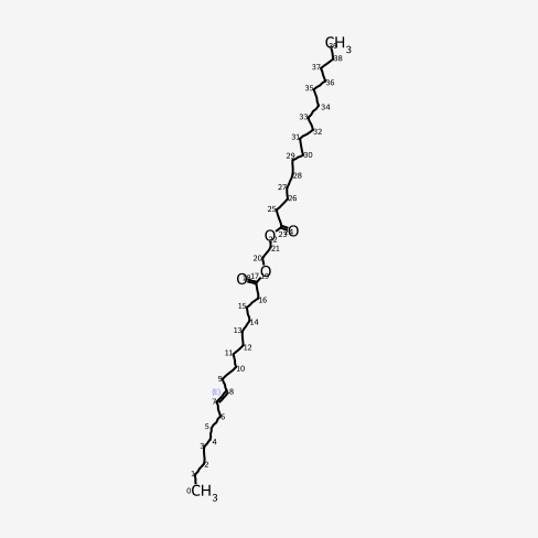 CCCCCCC/C=C/CCCCCCCCC(=O)OCCOC(=O)CCCCCCCCCCCCCCC